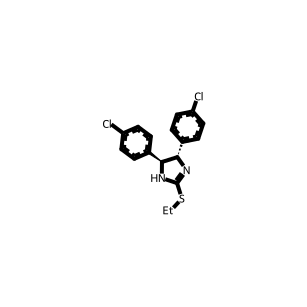 CCSC1=N[C@@H](c2ccc(Cl)cc2)[C@H](c2ccc(Cl)cc2)N1